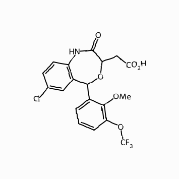 COc1c(OC(F)(F)F)cccc1C1OC(CC(=O)O)C(=O)Nc2ccc(Cl)cc21